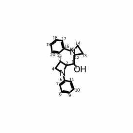 OC(C1CCN1c1ccccc1)C1CCN1c1ccccc1